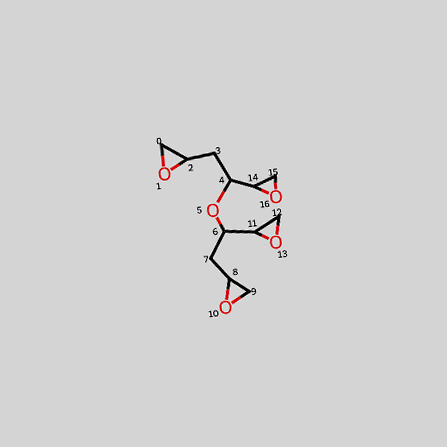 C1OC1CC(OC(CC1CO1)C1CO1)C1CO1